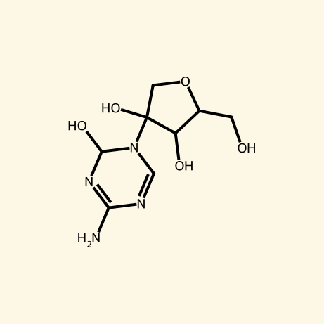 NC1=NC(O)N(C2(O)COC(CO)C2O)C=N1